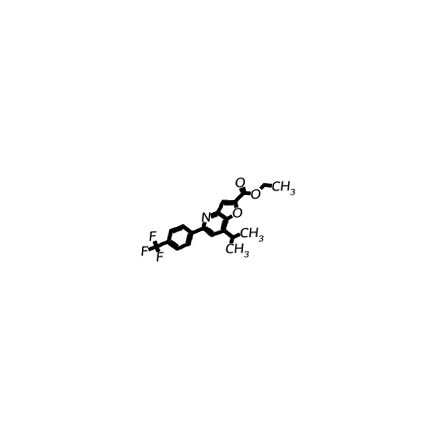 CCOC(=O)c1cc2nc(-c3ccc(C(F)(F)F)cc3)cc(C(C)C)c2o1